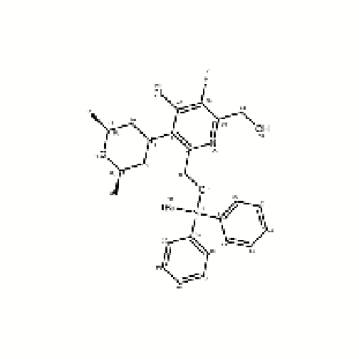 C[C@@H]1CN(c2c(CO[Si](c3ccccc3)(c3ccccc3)C(C)(C)C)nc(CO)c(F)c2Cl)C[C@H](C)O1